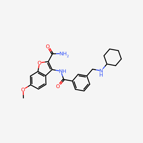 COc1ccc2c(NC(=O)c3cccc(CNC4CCCCC4)c3)c(C(N)=O)oc2c1